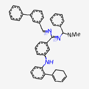 CNC(/N=C(\N=C\c1cccc(-c2ccccc2)c1)c1cccc(Nc2ccccc2C2=CC=CCC2)c1)c1ccccc1